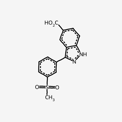 CS(=O)(=O)c1cccc(-c2n[nH]c3ccc(C(=O)O)cc23)c1